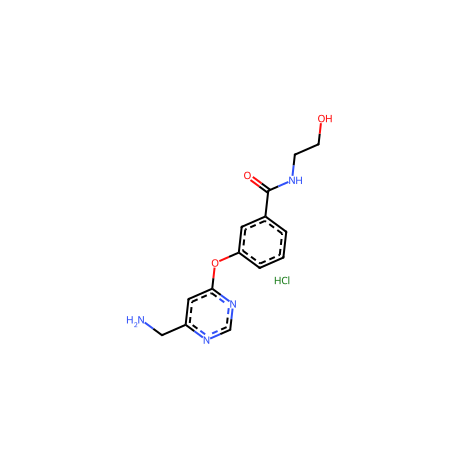 Cl.NCc1cc(Oc2cccc(C(=O)NCCO)c2)ncn1